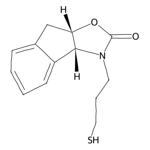 O=C1O[C@H]2Cc3ccccc3[C@H]2N1CCCS